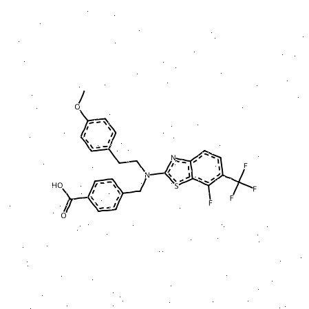 COc1ccc(CCN(Cc2ccc(C(=O)O)cc2)c2nc3ccc(C(F)(F)F)c(F)c3s2)cc1